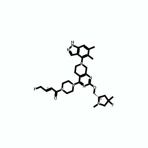 Cc1cc2[nH]ncc2c(N2CCc3c(nc(OC[C@@H]4CC(C)(F)CN4C)nc3N3CCN(C(=O)/C=C/CF)CC3)C2)c1C